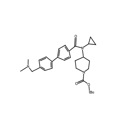 CN(C)Cc1ccc(-c2ccc(C(=O)N(C3CC3)C3CCN(C(=O)OC(C)(C)C)CC3)cc2)cc1